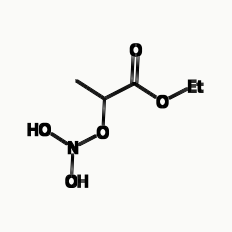 CCOC(=O)C(C)ON(O)O